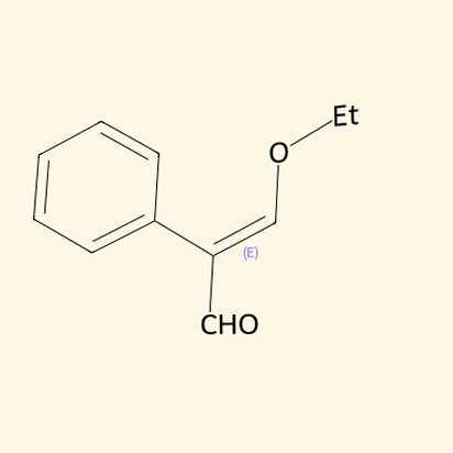 CCO/C=C(/C=O)c1ccccc1